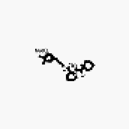 COc1cc(CCCOC(=O)C2CCCCN2C(=O)C(=O)C2(C)CCCCC2)cc(C)c1C